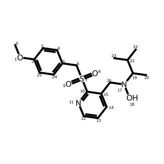 COc1ccc(CS(=O)(=O)c2ncccc2CN(O)C(C)C(C)C)cc1